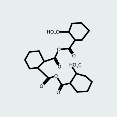 O=C(O)C1CCCCC1C(=O)OC(=O)C1CCCCC1C(=O)OC(=O)C1CCCCC1C(=O)O